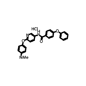 CNc1ccc(Oc2ccc(NC(=O)c3ccc(Oc4ccccc4)cc3)cn2)cc1.Cl